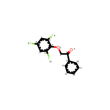 O=C(COc1c(F)cc(F)cc1F)c1ccccc1